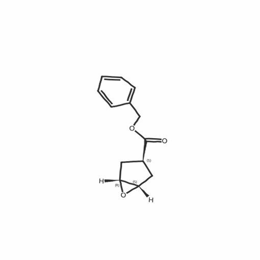 O=C(OCc1ccccc1)[C@H]1C[C@@H]2O[C@@H]2C1